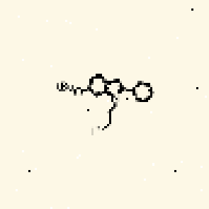 CC(C)CCCn1c(-c2ccccc2)cc2ccc(OC(C)(C)C)cc21